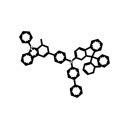 CC1CC=CC=C1C1(c2ccccc2)c2ccccc2C2=CC=C(N(c3ccc(C4=Cc5c(n(-c6ccccc6)c6ccccc56)C(C)C4)cc3)c3ccc(-c4ccccc4)cc3)CC21